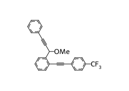 COC(C#Cc1ccccc1)c1ccccc1C#Cc1ccc(C(F)(F)F)cc1